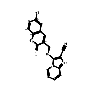 N#Cc1nc2ccccn2c1NCc1cc2cc(Cl)ccc2[nH]c1=O